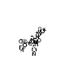 CCc1c(N2CCN(C(=O)OC(C)(C)C)[C@H](C)C2)c(=O)n2nc(N3CCC(N(C)C)CC3)nc2n1CC(=O)Nc1ccc(C(F)(F)F)cc1Cl